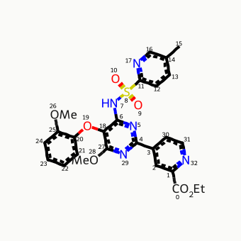 CCOC(=O)c1cc(-c2nc(NS(=O)(=O)c3ccc(C)cn3)c(Oc3ccccc3OC)c(OC)n2)ccn1